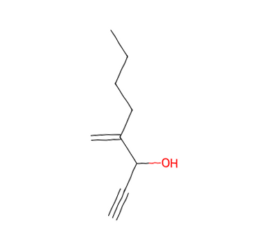 C#CC(O)C(=C)CCCC